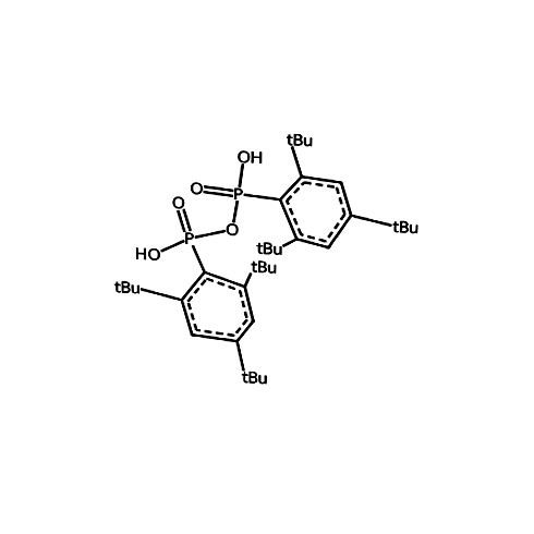 CC(C)(C)c1cc(C(C)(C)C)c(P(=O)(O)OP(=O)(O)c2c(C(C)(C)C)cc(C(C)(C)C)cc2C(C)(C)C)c(C(C)(C)C)c1